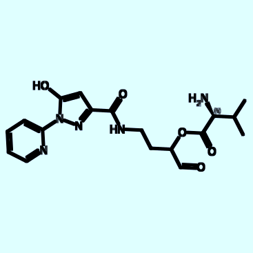 CC(C)[C@H](N)C(=O)OC(C=O)CCNC(=O)c1cc(O)n(-c2ccccn2)n1